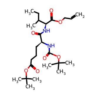 C=CCOC(=O)[C@@H](NC(=O)[C@H](CCCC(=O)OC(C)(C)C)NC(=O)OC(C)(C)C)C(C)CC